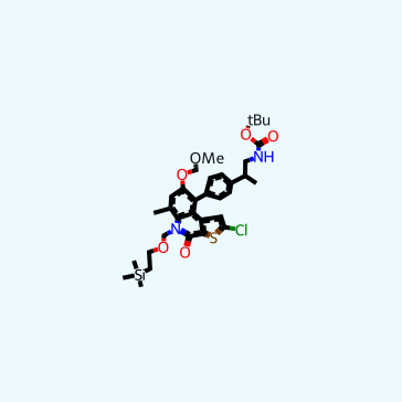 COCOc1cc(C)c2c(c1-c1ccc(C(C)CNC(=O)OC(C)(C)C)cc1)c1cc(Cl)sc1c(=O)n2COCC[Si](C)(C)C